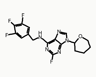 Fc1nc(NCc2cc(F)c(F)c(F)c2)c2ncn(C3CCCCO3)c2n1